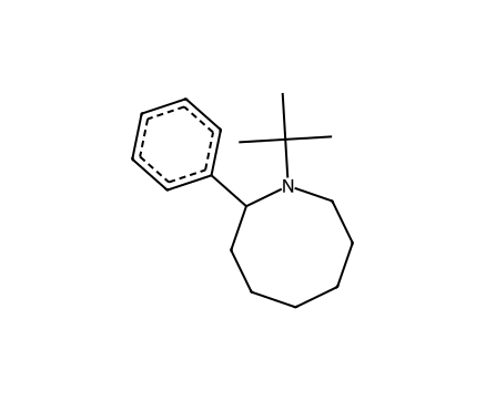 CC(C)(C)N1CCCCCCC1c1ccccc1